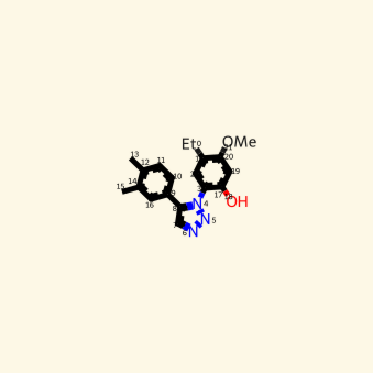 CCc1cc(-n2nncc2-c2ccc(C)c(C)c2)c(O)cc1OC